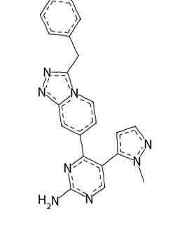 Cn1nccc1-c1cnc(N)nc1-c1ccn2c(Cc3ccccc3)nnc2c1